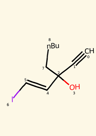 C#CC(O)(/C=C/I)CCCCC